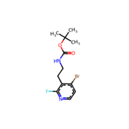 CC(C)(C)OC(=O)NCCc1c(Br)ccnc1F